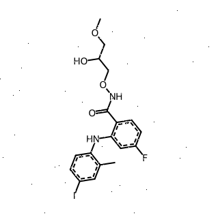 COCC(O)CONC(=O)c1ccc(F)cc1Nc1ccc(I)cc1C